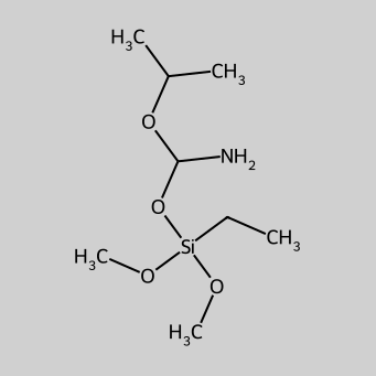 CC[Si](OC)(OC)OC(N)OC(C)C